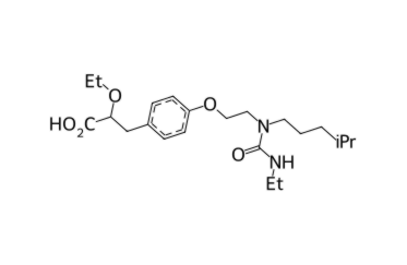 CCNC(=O)N(CCCC(C)C)CCOc1ccc(CC(OCC)C(=O)O)cc1